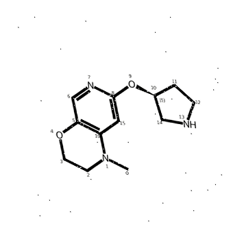 CN1CCOc2cnc(O[C@H]3CCNC3)cc21